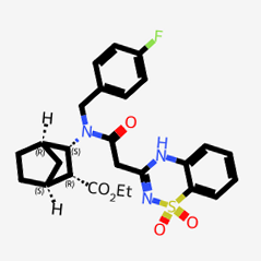 CCOC(=O)[C@@H]1[C@H]2CC[C@H](C2)[C@@H]1N(Cc1ccc(F)cc1)C(=O)CC1=NS(=O)(=O)c2ccccc2N1